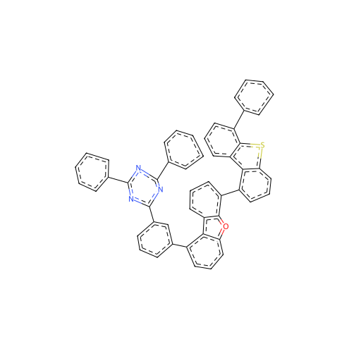 c1ccc(-c2nc(-c3ccccc3)nc(-c3cccc(-c4cccc5oc6c(-c7cccc8sc9c(-c%10ccccc%10)cccc9c78)cccc6c45)c3)n2)cc1